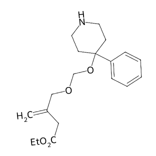 C=C(COCOC1(c2ccccc2)CCNCC1)CC(=O)OCC